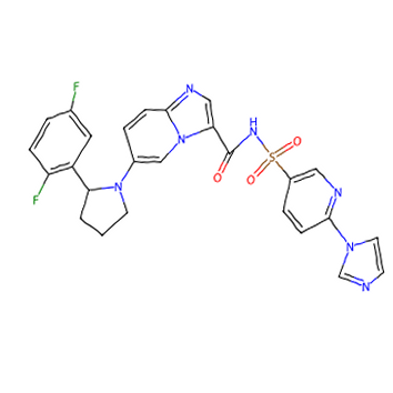 O=C(NS(=O)(=O)c1ccc(-n2ccnc2)nc1)c1cnc2ccc(N3CCCC3c3cc(F)ccc3F)cn12